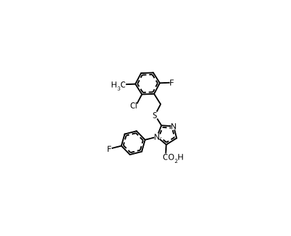 Cc1ccc(F)c(CSc2ncc(C(=O)O)n2-c2ccc(F)cc2)c1Cl